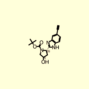 C#Cc1ccc2[nH]c([C@@H]3C[C@@H](O)CN3C(=O)OC(C)(C)C)nc2c1